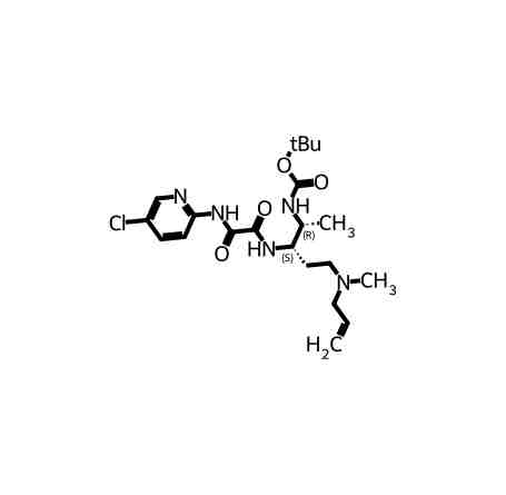 C=CCN(C)CC[C@H](NC(=O)C(=O)Nc1ccc(Cl)cn1)[C@@H](C)NC(=O)OC(C)(C)C